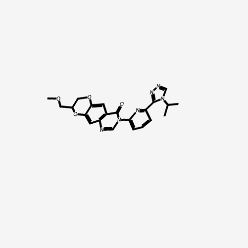 COCC1COc2cc3c(=O)n(-c4cccc(-c5nncn5C(C)C)n4)cnc3cc2O1